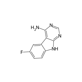 Nc1ncnc2[nH]c3ccc(F)cc3c12